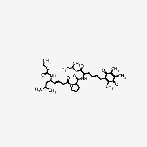 CCOC(=O)NC(/C=C/CC(=O)N1CCCC1C(=O)NC(CCCCC1=C(C)C(=O)C(C)=C(C)C1=O)C(=O)NC(C)C)CC(C)C